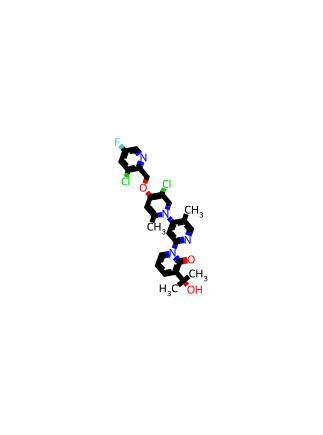 CC1=CC(OCc2ncc(F)cc2Cl)=C(Cl)CN1c1cc(-n2cccc(C(C)(C)O)c2=O)ncc1C